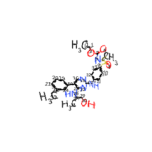 CCOC(=O)N=S(C)(=O)c1ccc(Nc2ncc(-c3cccc(C)c3)c(N[C@H](C)CO)n2)cc1